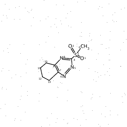 CS(=O)(=O)c1nnc2c(n1)CCCC2